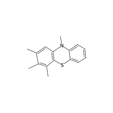 Cc1cc2c(c(C)c1C)Sc1ccccc1N2C